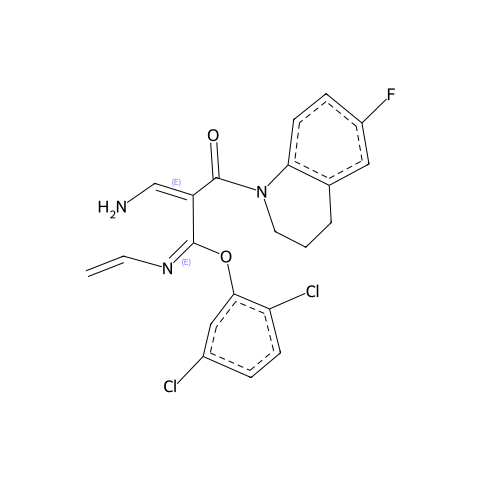 C=C/N=C(Oc1cc(Cl)ccc1Cl)\C(=C/N)C(=O)N1CCCc2cc(F)ccc21